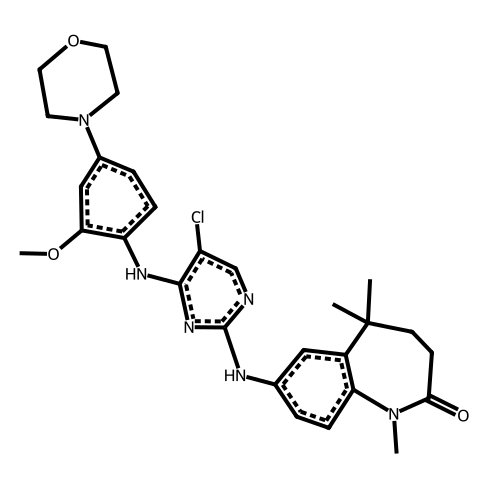 COc1cc(N2CCOCC2)ccc1Nc1nc(Nc2ccc3c(c2)C(C)(C)CCC(=O)N3C)ncc1Cl